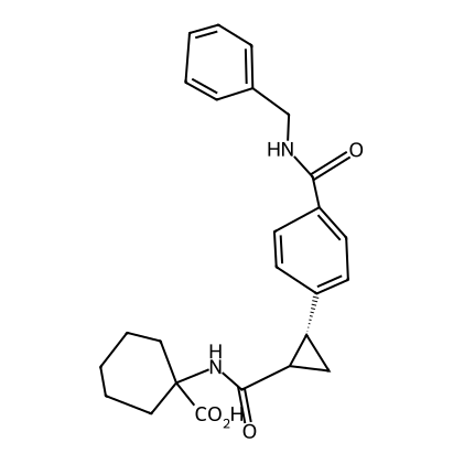 O=C(NCc1ccccc1)c1ccc([C@@H]2CC2C(=O)NC2(C(=O)O)CCCCC2)cc1